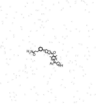 CC(=O)N(c1nc(C)c(C(=O)N2CC3CN(c4cccc(CCC(N)=O)c4)CC3C2)c(C)n1)C1CCNC1